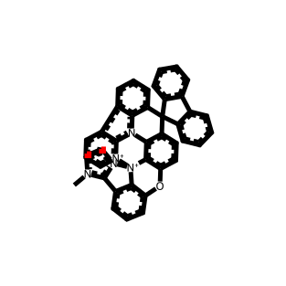 Cn1c2[n+](c3ccncc31)[N+]13c4c(cccc4-2)Oc2ccc4c(c21)-n1c2c(cccc2c2ccc[n+]3c21)C41c2ccccc2-c2ccccc21